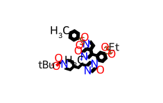 CCS(=O)(=O)c1ccc(-n2cc(CCC3CCN(C(=O)OC(C)(C)C)CC3)ncc2=O)c(-c2cn(C)c(=O)c3c2ccn3S(=O)(=O)c2ccc(C)cc2)c1